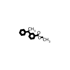 CCOC(=O)c1cccc(C(C)c2ccccc2)c1